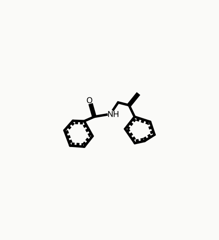 C=C(CNC(=O)c1ccccc1)c1ccccc1